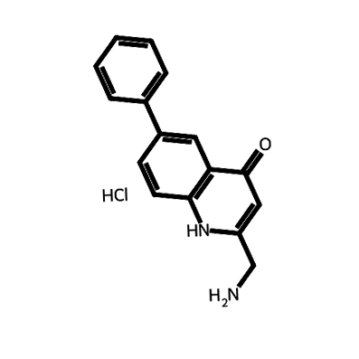 Cl.NCc1cc(=O)c2cc(-c3ccccc3)ccc2[nH]1